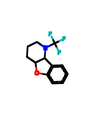 FC(F)(F)N1CCCC2Oc3ccccc3C21